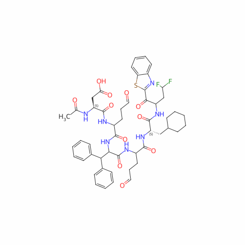 CC(=O)N[C@@H](CC(=O)O)C(=O)NC(CCC=O)C(=O)NC(C(=O)NC(CCC=O)C(=O)N[C@@H](CC1CCCCC1)C(=O)NC(CC(F)F)C(=O)c1nc2ccccc2s1)C(c1ccccc1)c1ccccc1